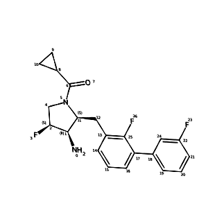 N[C@H]1[C@@H](F)CN(C(=O)C2CC2)[C@H]1Cc1cccc(-c2cccc(F)c2)c1F